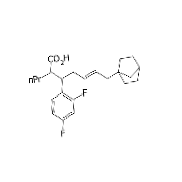 CCCC(C(=O)O)C(CC=CCC12CCC(CC1)C2)c1ccc(F)cc1F